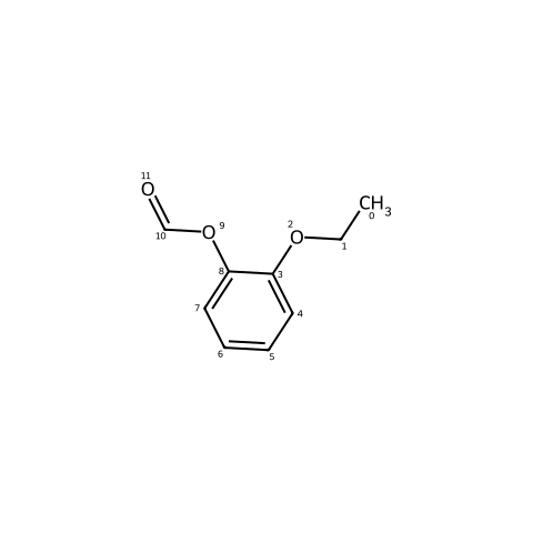 CCOc1ccccc1OC=O